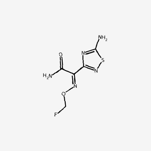 NC(=O)/C(=N\OCF)c1nsc(N)n1